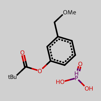 COCc1cccc(OC(=O)C(C)(C)C)c1.O=[PH](O)O